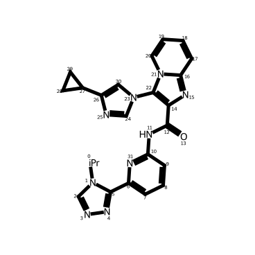 CC(C)n1cnnc1-c1cccc(NC(=O)c2nc3ccccn3c2-n2cnc(C3CC3)c2)n1